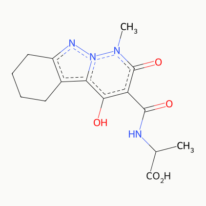 CC(NC(=O)c1c(O)c2c3c(nn2n(C)c1=O)CCCC3)C(=O)O